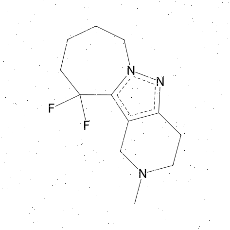 CN1CCc2nn3c(c2C1)C(F)(F)CCCC3